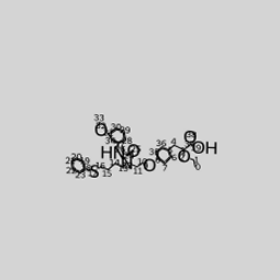 CCOC(Cc1ccc(OCCN(CCCCSc2ccccc2)C(=O)Nc2cccc(OC)c2)cc1)C(=O)O